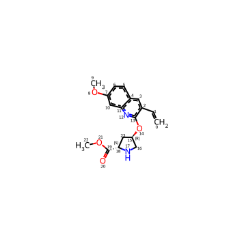 C=Cc1cc2ccc(OC)cc2nc1O[C@H]1CN[C@H](C(=O)OC)C1